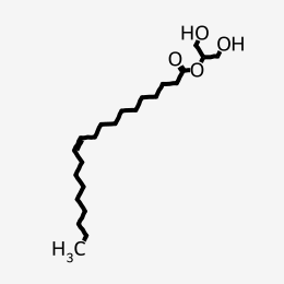 CCCCCCCC/C=C\CCCCCCCCCC(=O)OC(CO)CO